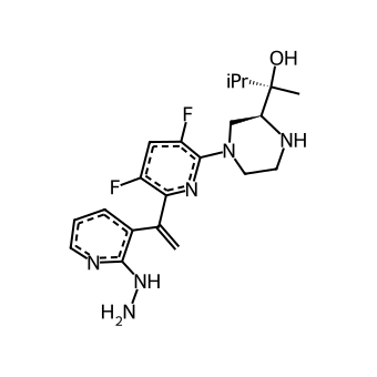 C=C(c1cccnc1NN)c1nc(N2CCN[C@H]([C@](C)(O)C(C)C)C2)c(F)cc1F